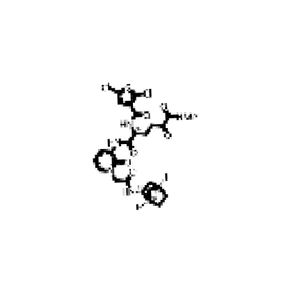 CNC(=O)C(=O)CC[C@H](NC(=O)c1cc(Cl)sc1Cl)C(=O)Nc1cccn(CC(=O)N[C@@H]2C[C@H]3CC[C@@H]2C3)c1=O